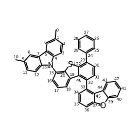 Cc1ccc2c(c1)c1cc(C)ccc1n2-c1cccc2c1sc1c(-c3ccccc3)ccc(-c3cccc4oc5ccccc5c34)c12